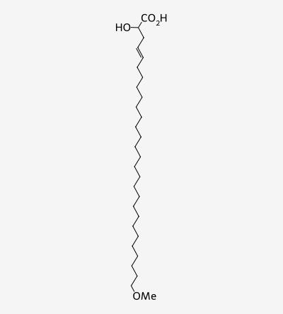 COCCCCCCCCCCCCCCCCCCCCCCCC=CCC(O)C(=O)O